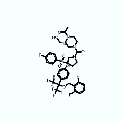 CC(=O)N1CCN(C(=O)N2CC[C@](c3ccc(C(OCc4c(F)cccc4F)(C(F)(F)F)C(F)(F)F)cc3)(S(=O)(=O)c3ccc(F)cc3)C2)C[C@H]1CO